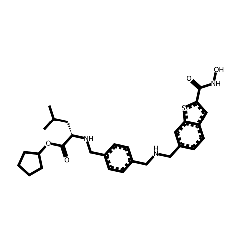 CC(C)C[C@H](NCc1ccc(CNCc2ccc3cc(C(=O)NO)sc3c2)cc1)C(=O)OC1CCCC1